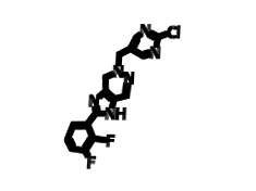 Fc1cccc(-c2nc3c([nH]2)C=NN(Cc2cnc(Cl)nc2)C3)c1F